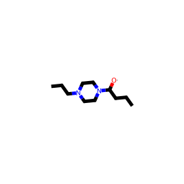 CCCC([O])N1CCN(CCC)CC1